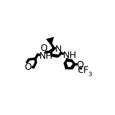 O=C(NCC1CCOCC1)c1ccc(Nc2cccc(OC(F)(F)F)c2)nc1C1CC1